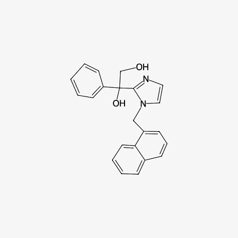 OCC(O)(c1ccccc1)c1nccn1Cc1cccc2ccccc12